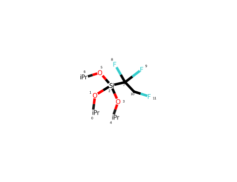 CC(C)O[Si](OC(C)C)(OC(C)C)C(F)(F)CF